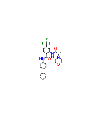 CC(C(=O)Nc1cc(C(F)(F)F)ccc1C(=O)Nc1ccc(-c2ccccc2)cc1)N1CCOCC1